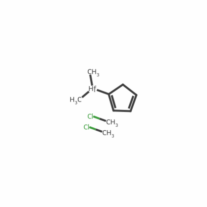 CCl.CCl.[CH3][Hf]([CH3])[C]1=CC=CC1